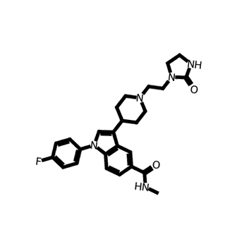 CNC(=O)c1ccc2c(c1)c(C1CCN(CCN3CCNC3=O)CC1)cn2-c1ccc(F)cc1